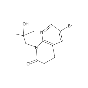 CC(C)(O)CN1C(=O)CCc2cc(Br)cnc21